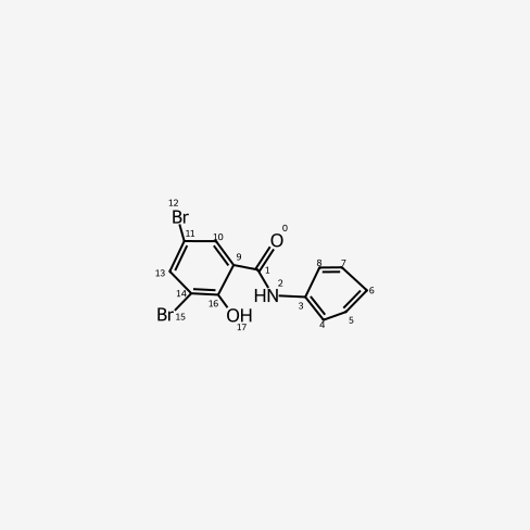 O=C(Nc1ccccc1)c1cc(Br)cc(Br)c1O